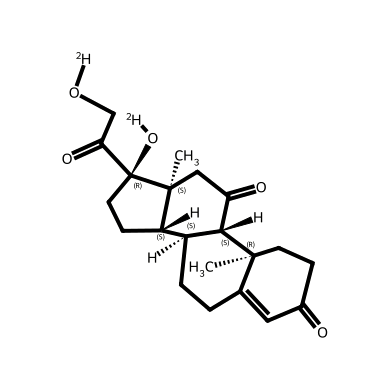 [2H]OCC(=O)[C@@]1(O[2H])CC[C@H]2[C@@H]3CCC4=CC(=O)CC[C@]4(C)[C@H]3C(=O)C[C@@]21C